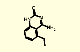 CCc1cccc2[nH]c(=O)nc(N)c12